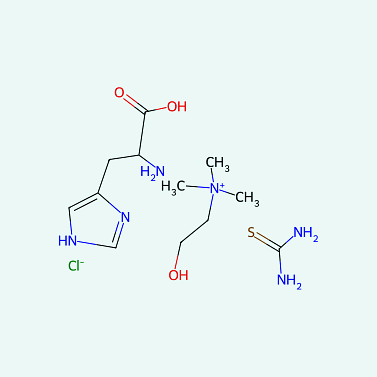 C[N+](C)(C)CCO.NC(Cc1c[nH]cn1)C(=O)O.NC(N)=S.[Cl-]